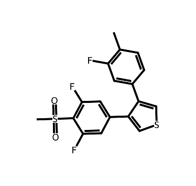 Cc1ccc(-c2cscc2-c2cc(F)c(S(C)(=O)=O)c(F)c2)cc1F